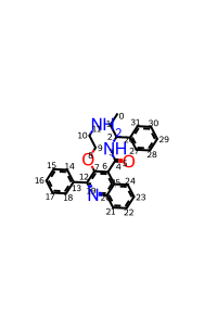 CCC(NC(=O)c1c(OCCN)c(-c2ccccc2)nc2ccccc12)c1ccccc1